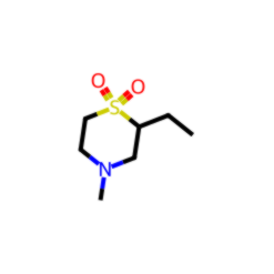 CCC1CN(C)CCS1(=O)=O